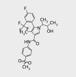 Cc1c(C(=O)Nc2ccc(S(C)(=O)=O)cc2)cn(C(C)C(C)O)c1-c1ccc(F)cc1C(F)(F)F